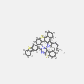 C=C/C=C\c1c(C)n(-c2nc(-c3ccc4sc5ccccc5c4c3)nc3sc4ccccc4c23)c2c1c1ccccc1c1sc3ccccc3c12